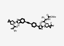 COC(=O)N[C@H](C(=O)N1C[C@]2(C[C@H]1c1ncc(-c3ccc(C#Cc4ccc5nc([C@@H]6CC7(CC7)CN6C(=O)[C@@H](C)C(C)C)[nH]c5c4)cc3)[nH]1)CC2(F)F)C(C)C